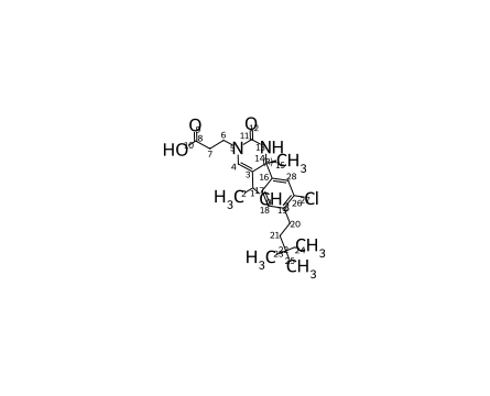 CC(C)C1=CN(CCC(=O)O)C(=O)N[C@]1(C)c1ccc(CCC(C)(C)C)c(Cl)c1